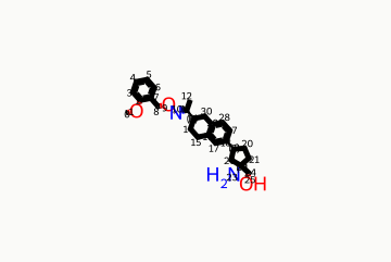 COc1ccccc1CON=C(C)[C@@H]1CCc2cc([C@H]3CC[C@](N)(CO)C3)ccc2C1